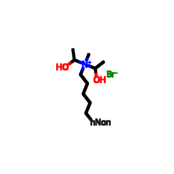 CCCCCCCCCCCCCC[N+](C)(C(C)O)C(C)O.[Br-]